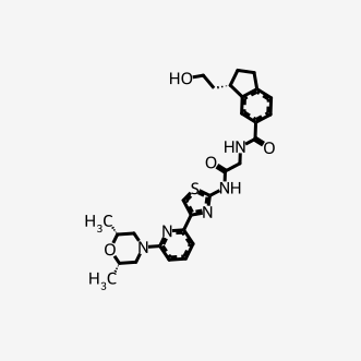 C[C@@H]1CN(c2cccc(-c3csc(NC(=O)CNC(=O)c4ccc5c(c4)[C@H](CCO)CC5)n3)n2)C[C@H](C)O1